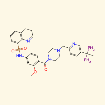 COc1cc(NS(=O)(=O)c2cccc3c2N=CCC3)ccc1C(=O)N1CCN(Cc2ccc(C(C)(P)P)cn2)CC1